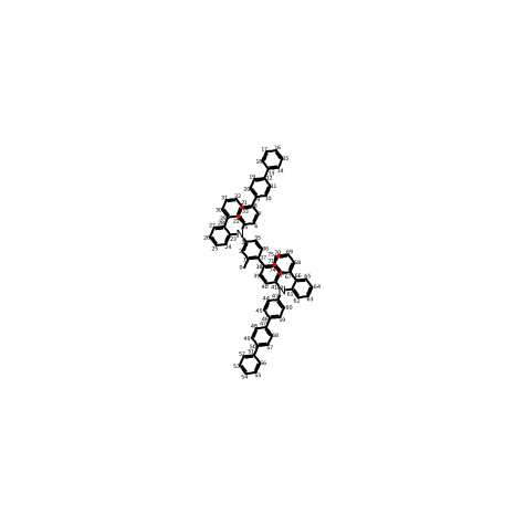 Cc1cc(N(c2ccc(-c3ccc(-c4ccccc4)cc3)cc2)c2ccccc2-c2ccccc2)ccc1-c1ccc(N(c2ccc(-c3ccc(-c4ccccc4)cc3)cc2)c2ccccc2-c2ccccc2)cc1C